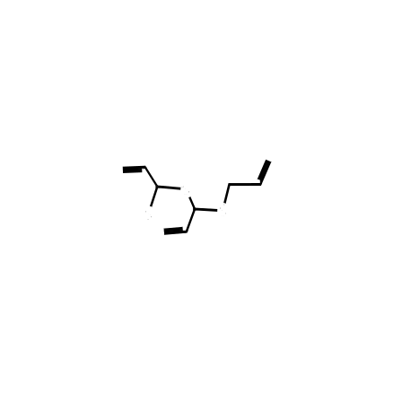 C=CCSC(C=C)SC([S])C=C